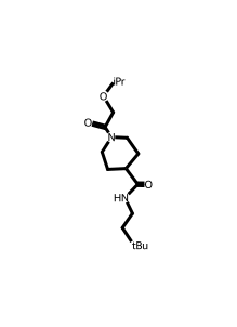 CC(C)OCC(=O)N1CCC(C(=O)NCCC(C)(C)C)CC1